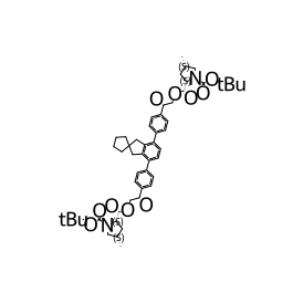 C[C@H]1C[C@@H](C(=O)OCC(=O)c2ccc(-c3ccc(-c4ccc(C(=O)COC(=O)[C@@H]5C[C@H](C)CN5C(=O)OC(C)(C)C)cc4)c4c3CC3(CCCC3)C4)cc2)N(C(=O)OC(C)(C)C)C1